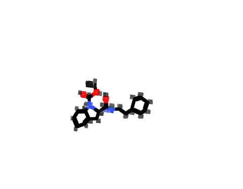 CC(C)(C)OC(=O)N1c2ccccc2C[C@@H]1C(=O)NCCc1ccccc1